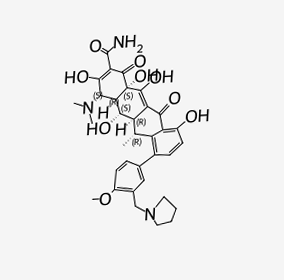 COc1ccc(-c2ccc(O)c3c2[C@H](C)[C@@H]2C(=C(O)[C@]4(O)C(=O)C(C(N)=O)=C(O)[C@@H](N(C)C)[C@@H]4[C@H]2O)C3=O)cc1CN1CCCC1